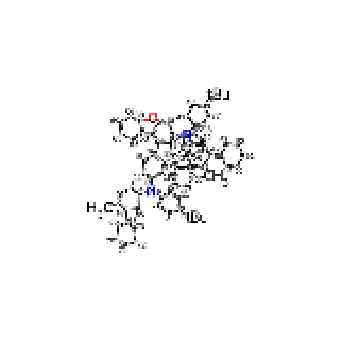 Cc1ccc(N(c2ccc(C(C)(C)C)cc2)c2ccc3c(c2)C2(c4ccccc4-c4ccccc42)c2c(N(c4ccc(C(C)(C)C)cc4)c4ccc(C)c(-c5ccccc5)c4)cc4oc5ccccc5c4c2-3)cc1-c1ccccc1